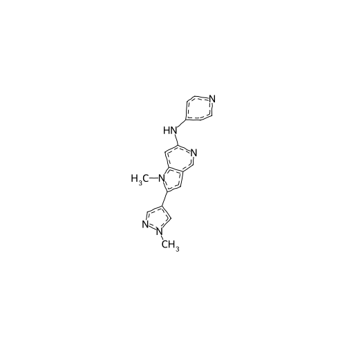 Cn1cc(-c2cc3cnc(Nc4ccncc4)cc3n2C)cn1